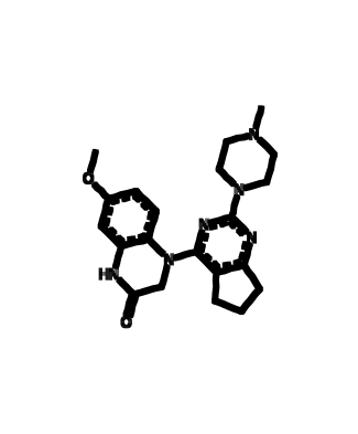 COc1ccc2c(c1)NC(=O)CN2c1nc(N2CCN(C)CC2)nc2c1CCC2